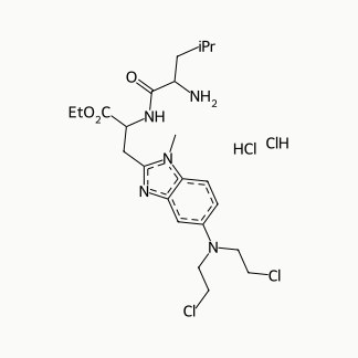 CCOC(=O)C(Cc1nc2cc(N(CCCl)CCCl)ccc2n1C)NC(=O)C(N)CC(C)C.Cl.Cl